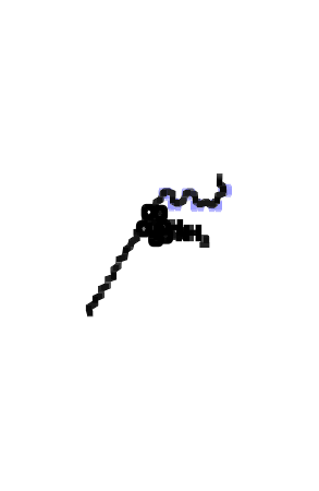 CC/C=C\C/C=C\C/C=C\C/C=C\C/C=C\C/C=C\CCC(=O)O[C@H](COCCCCCCCCCCCCCCCCCC)COP(=O)(O)OCCN